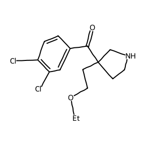 CCOCCC1(C(=O)c2ccc(Cl)c(Cl)c2)CCNC1